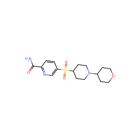 NC(=O)c1ccc(S(=O)(=O)C2CCN(C3CCOCC3)CC2)cn1